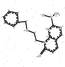 C[S+]([O-])c1ncc2ccc(=O)n(CCOCc3ccccc3)c2n1